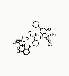 CCC/C(=N\OCC)C1=C(O)CC(C2CCCSC2)CC1=O.CCSC(=O)N(CC)C1CCCCC1.CCc1cccc(CC)c1N(COC)C(=O)CCl